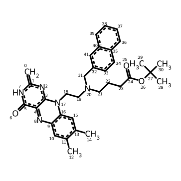 C=c1nc2c(c(=O)[nH]1)=Nc1cc(C)c(C)cc1N2CCN(CCCC(=O)OC(C)(C)C)Cc1ccc2ccccc2c1